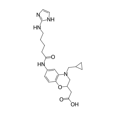 O=C(O)CC1CN(CC2CC2)c2cc(NC(=O)CCCCNc3ncc[nH]3)ccc2O1